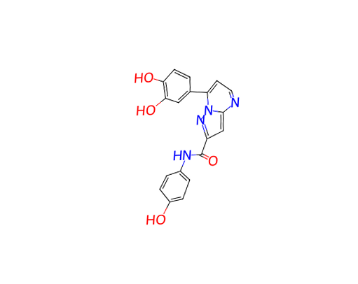 O=C(Nc1ccc(O)cc1)c1cc2nccc(-c3ccc(O)c(O)c3)n2n1